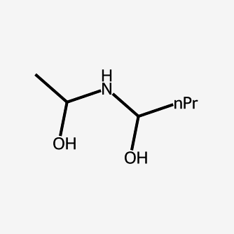 CCCC(O)NC(C)O